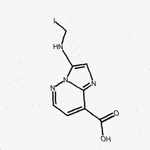 O=C(O)c1ccnn2c(NCI)cnc12